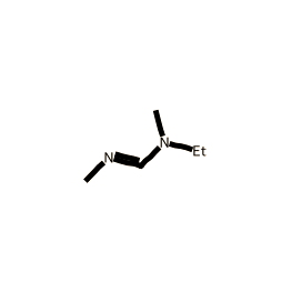 CCN(C)C=NC